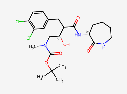 CN(C[C@@H](O)C(Cc1ccc(Cl)c(Cl)c1)C(=O)N[C@@H]1CCCCNC1=O)C(=O)OC(C)(C)C